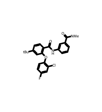 CNC(=O)c1cccc(NC(=O)c2ccc(C(C)(C)C)cc2Oc2ccc(F)cc2Cl)c1